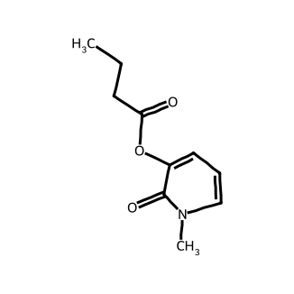 CCCC(=O)Oc1cccn(C)c1=O